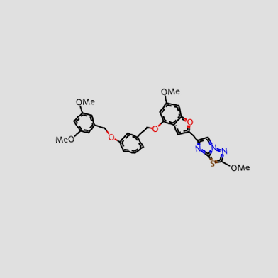 COc1cc(COc2cccc(COc3cc(OC)cc4oc(-c5cn6nc(OC)sc6n5)cc34)c2)cc(OC)c1